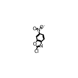 O=[N+]([O-])c1ccc2nc(Cl)oc2c1